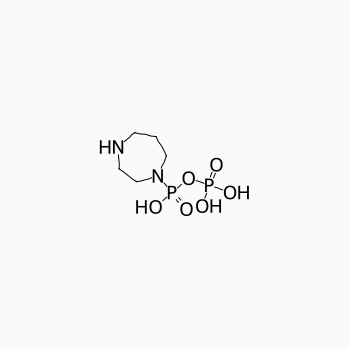 O=P(O)(O)OP(=O)(O)N1CCCNCC1